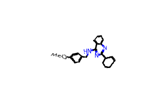 COc1ccc(CNc2nc(C3CCCCC3)nc3ccccc23)cc1